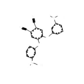 CN(C)c1cccc(Oc2cc(C#N)c(C#N)cc2Oc2cccc(N(C)C)c2)c1